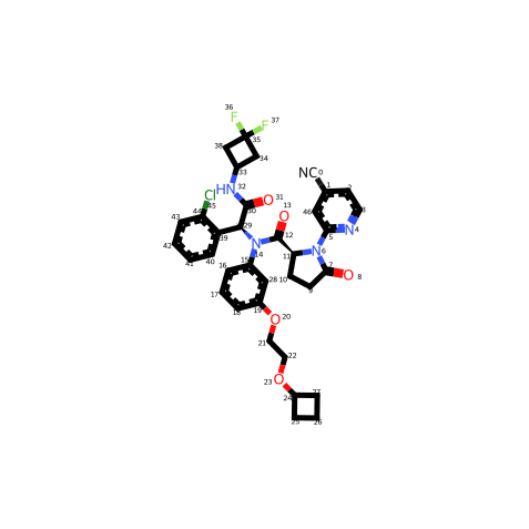 N#Cc1ccnc(N2C(=O)CC[C@H]2C(=O)N(c2cccc(OCCOC3CCC3)c2)[C@H](C(=O)NC2CC(F)(F)C2)c2ccccc2Cl)c1